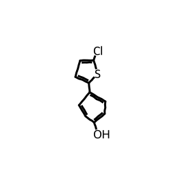 Oc1ccc(-c2ccc(Cl)s2)cc1